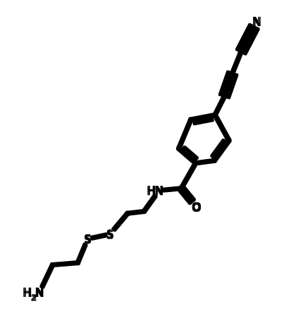 N#CC#Cc1ccc(C(=O)NCCSSCCN)cc1